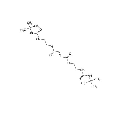 CC(C)(C)NC(=O)NCCOC(=O)/C=C/C(=O)OCCNC(=O)NC(C)(C)C